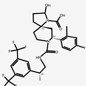 Cc1cc(F)ccc1[C@H]1C[C@]2(CCC(O)N2C(=O)O)CCN1C(=O)NC[C@H](C)c1cc(C(F)(F)F)cc(C(F)(F)F)c1